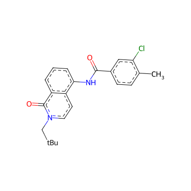 Cc1ccc(C(=O)Nc2cccc3c(=O)n(CC(C)(C)C)ccc23)cc1Cl